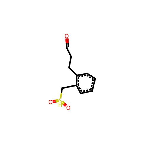 O=CCCc1ccccc1C[SH](=O)=O